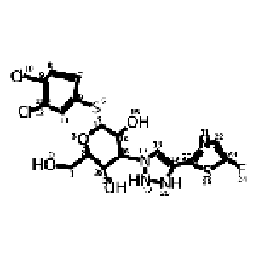 OCC1O[C@H](Sc2ccc(Cl)c(Cl)c2)C(O)C(N2C=C(c3ncc(F)s3)NN2)[C@H]1O